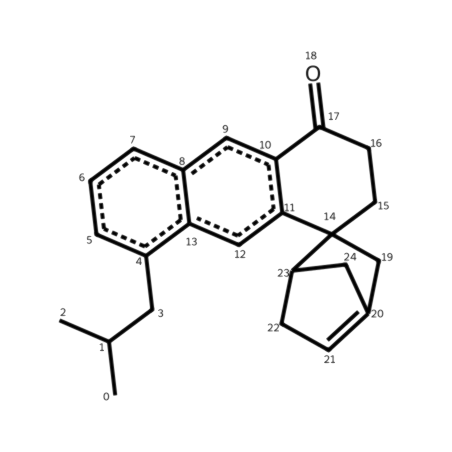 CC(C)Cc1cccc2cc3c(cc12)C1(CCC3=O)CC2=CCC1C2